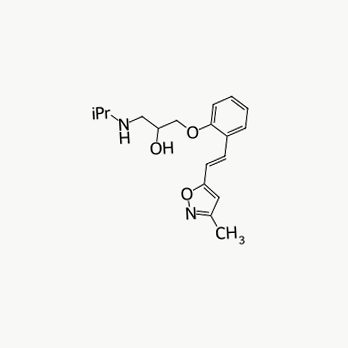 Cc1cc(C=Cc2ccccc2OCC(O)CNC(C)C)on1